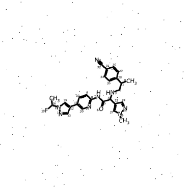 CC(CNC(C(=O)Nc1ccc(-c2cnn(C(C)F)c2)cn1)c1cnn(C)c1)c1ccc(C#N)cc1